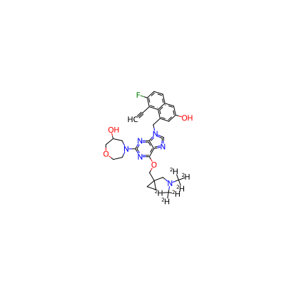 [2H]C([2H])([2H])N(CC1(COc2nc(N3CCOCC(O)C3)nc3c2ncn3Cc2cc(O)cc3ccc(F)c(C#C)c23)CC1)C([2H])([2H])[2H]